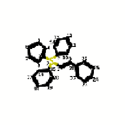 C(=C\S(c1ccccc1)(c1ccccc1)c1ccccc1)/c1ccccc1